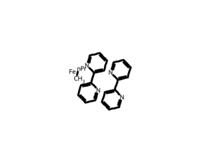 CCCC.[Fe].c1ccc(-c2ccccn2)nc1.c1ccc(-c2ccccn2)nc1